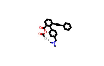 CN(C)Cc1ccc(-c2c(C#Cc3ccccc3)cccc2C(=O)OC(=O)C(F)(F)F)cc1